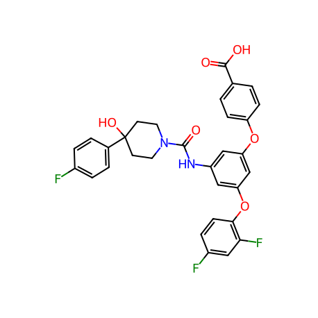 O=C(O)c1ccc(Oc2cc(NC(=O)N3CCC(O)(c4ccc(F)cc4)CC3)cc(Oc3ccc(F)cc3F)c2)cc1